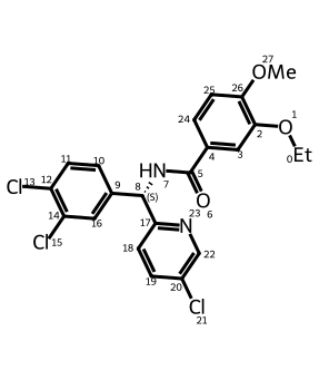 CCOc1cc(C(=O)N[C@@H](c2ccc(Cl)c(Cl)c2)c2ccc(Cl)cn2)ccc1OC